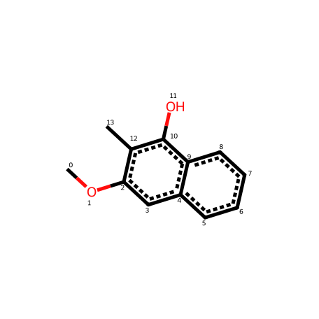 COc1cc2ccccc2c(O)c1C